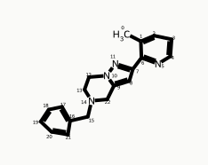 Cc1cccnc1-c1cc2n(n1)CCN(Cc1ccccc1)C2